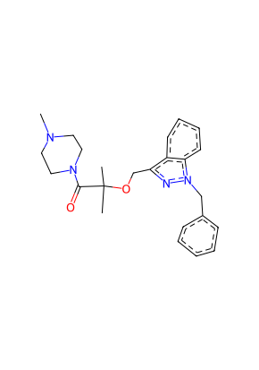 CN1CCN(C(=O)C(C)(C)OCc2nn(Cc3ccccc3)c3ccccc23)CC1